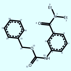 CCN(CC)C(=O)c1cccc(NC(=O)OCc2ccccc2)c1